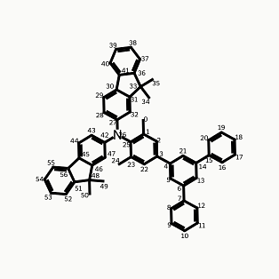 Cc1cc(-c2cc(-c3ccccc3)cc(-c3ccccc3)c2)cc(C)c1N(c1ccc2c(c1)C(C)(C)c1ccccc1-2)c1ccc2c(c1)C(C)(C)c1ccccc1-2